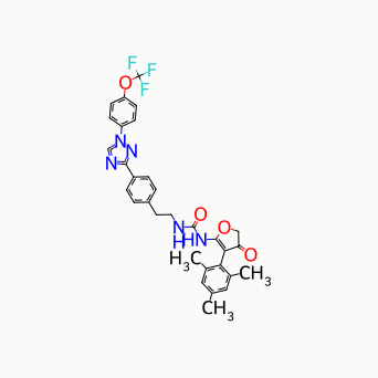 Cc1cc(C)c(C2=C(NC(=O)NCCc3ccc(-c4ncn(-c5ccc(OC(F)(F)F)cc5)n4)cc3)OCC2=O)c(C)c1